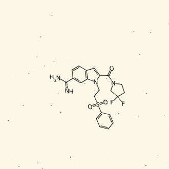 N=C(N)c1ccc2cc(C(=O)N3CCC(F)(F)C3)n(CCS(=O)(=O)c3ccccc3)c2c1